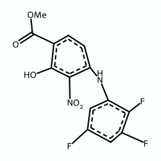 COC(=O)c1ccc(Nc2cc(F)cc(F)c2F)c([N+](=O)[O-])c1O